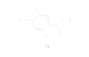 Cc1nc([C@H](O)[C@H](C)S(N)(=O)=O)ccc1Br